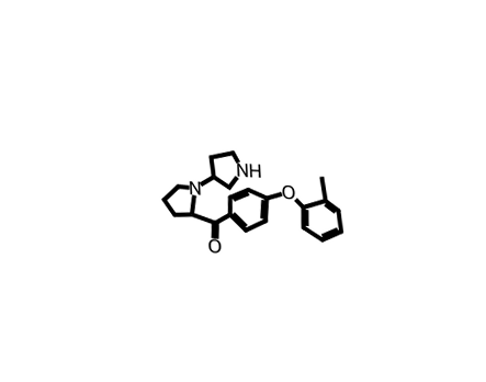 Cc1ccccc1Oc1ccc(C(=O)C2CCCN2C2CCNC2)cc1